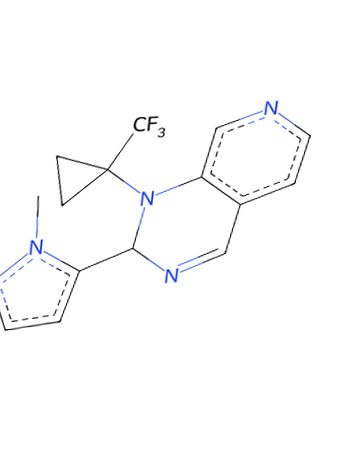 Cn1nccc1C1N=Cc2ccncc2N1C1(C(F)(F)F)CC1